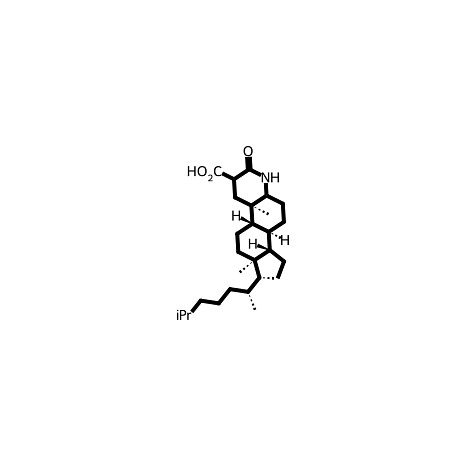 CC(C)CCC[C@@H](C)[C@H]1CC[C@H]2[C@@H]3CCC4NC(=O)C(C(=O)O)C[C@]4(C)[C@H]3CC[C@]12C